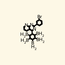 Bc1c(B)c(B)c(-c2nc(-c3cccc(Br)c3)nc3ncccc23)c(B)c1B